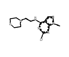 Cn1ncc2c(NCCN3CCOCC3)nc(Cl)nc21